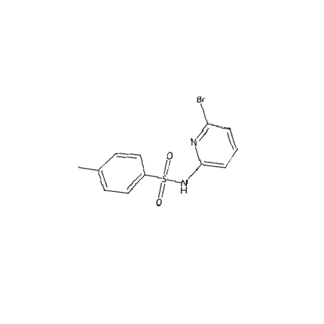 Cc1ccc(S(=O)(=O)Nc2cccc(Br)n2)cc1